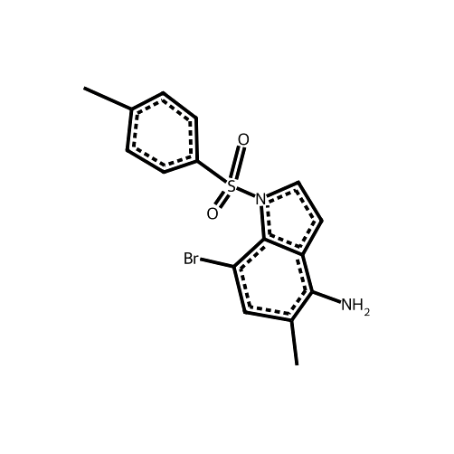 Cc1ccc(S(=O)(=O)n2ccc3c(N)c(C)cc(Br)c32)cc1